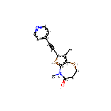 Cc1c(C#Cc2ccncc2)sc2c1SCCC(=O)N2C